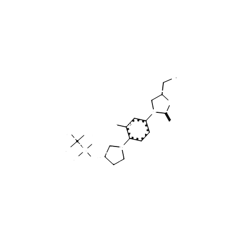 CC(C)(C)[Si](C)(C)O[C@H]1CCN(c2ccc(N3CC(CO)OC3=O)cc2F)C1